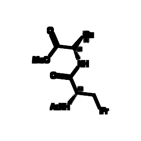 CC[C@H](C)[C@H](NC(=O)[C@H](CC(C)C)NC(C)=O)C(=O)OC